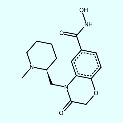 CN1CCCC[C@H]1CN1C(=O)COc2ccc(C(=O)NO)cc21